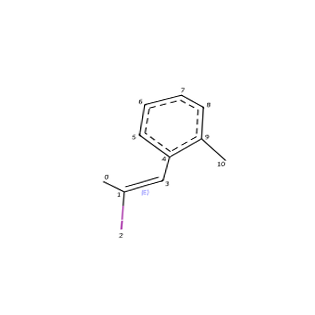 C/C(I)=C\c1ccccc1C